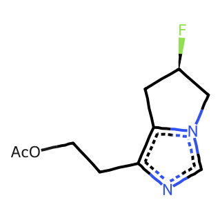 CC(=O)OCCc1ncn2c1C[C@@H](F)C2